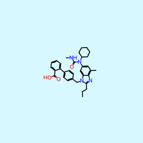 CCCc1nc2c(C)cc(N(C(=O)NC)C3CCCCC3)cc2n1Cc1ccc(-c2ccccc2C(=O)O)cc1